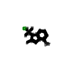 CC1=Cc2c(C(C)C)cccc2C1[Si](C)(C)Cl